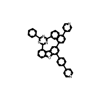 c1ccc(-c2nc(-c3ccccc3)nc(-c3cccc4oc5c(-c6ccc(-c7ccncc7)cc6)cc(-c6ccc(-c7ccncc7)cc6)cc5c34)n2)cc1